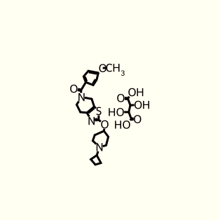 COc1ccc(C(=O)N2CCc3nc(OC4CCN(C5CCC5)CC4)sc3C2)cc1.O=C(O)C(O)C(O)C(=O)O